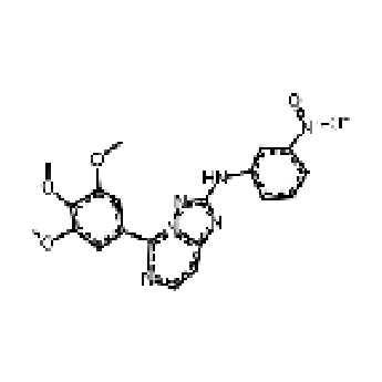 COc1cc(-c2nccc3nc(Nc4cccc([N+](=O)[O-])c4)nn23)cc(OC)c1OC